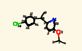 CC(C)Oc1ccc(C(C)c2ccc(Cl)cc2)nc1